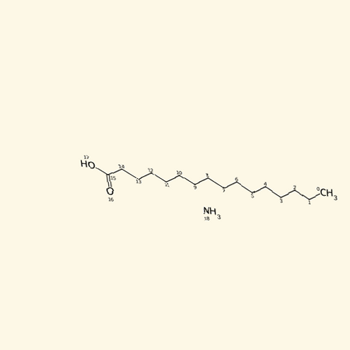 CCCCCCCCCCCCCCCC(=O)O.N